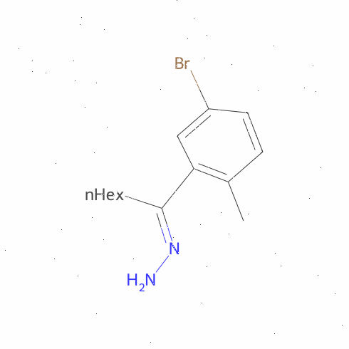 CCCCCCC(=NN)c1cc(Br)ccc1C